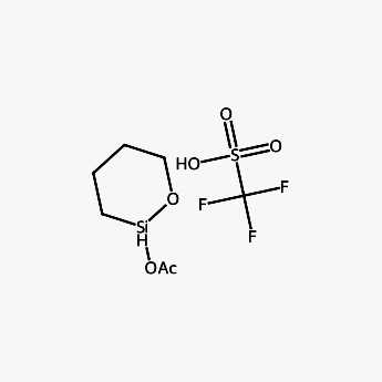 CC(=O)O[SiH]1CCCCO1.O=S(=O)(O)C(F)(F)F